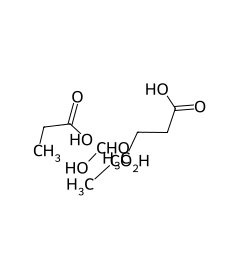 CC(=O)O.CCC(=O)O.CCCC(=O)O.O=CO